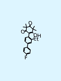 CCc1cc(-c2ccc(F)cc2)ccc1C1=C(O)C(C)(C)C(=O)C(C)(C)C1=O